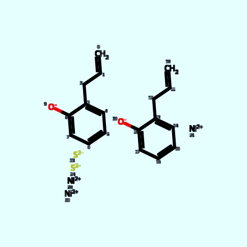 C=CCc1ccccc1[O-].C=CCc1ccccc1[O-].[Ni+2].[Ni+2].[Ni+2].[S-2].[S-2]